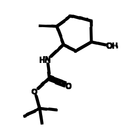 CC1CCC(O)CC1NC(=O)OC(C)(C)C